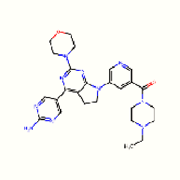 CCN1CCN(C(=O)c2cncc(N3CCc4c(-c5cnc(N)nc5)nc(N5CCOCC5)nc43)c2)CC1